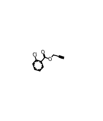 C#CCOC(=O)c1ccccc1Cl